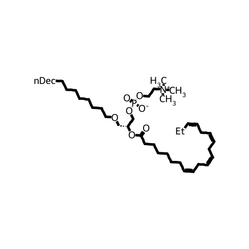 CC/C=C\C/C=C\C/C=C\C/C=C\CCCCCCC(=O)O[C@H](COCCCCCCCCCCCCCCCCCC)COP(=O)([O-])OCC[N+](C)(C)C